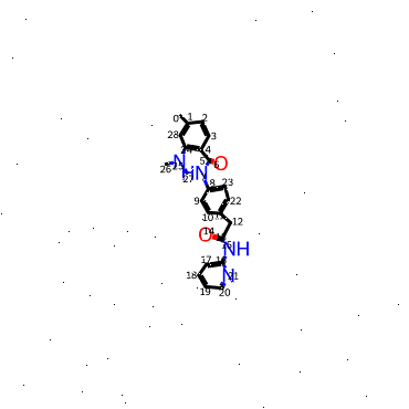 Cc1ccc(C(=O)Nc2ccc(CC(=O)Nc3ccccn3)cc2)c(N(C)C)c1